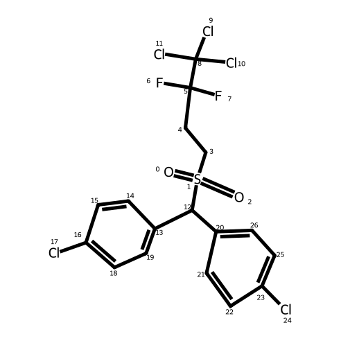 O=S(=O)(CCC(F)(F)C(Cl)(Cl)Cl)C(c1ccc(Cl)cc1)c1ccc(Cl)cc1